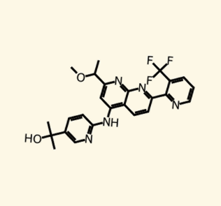 COC(C)c1cc(Nc2ccc(C(C)(C)O)cn2)c2ccc(-c3ncccc3C(F)(F)F)nc2n1